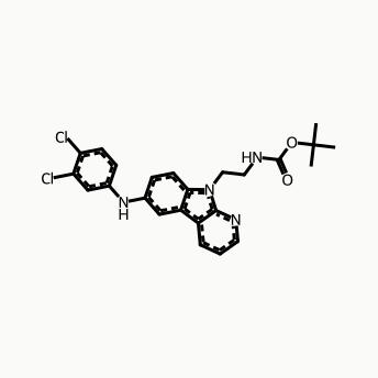 CC(C)(C)OC(=O)NCCn1c2ccc(Nc3ccc(Cl)c(Cl)c3)cc2c2cccnc21